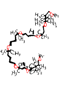 CC(C)OCC(C)C(C)(C)C(C)(C)OCCC(C)(C)OCCCCOC(C)(C)CCCCOC(C)(C)CCCCOC(C)(C)CCOC(C)(C)C(C)(C)C(C)COC(C)C